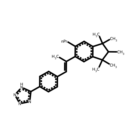 CCCc1cc2c(cc1/C(C)=C/c1ccc(-c3nnn[nH]3)cc1)C(C)(C)C(C)C2(C)C